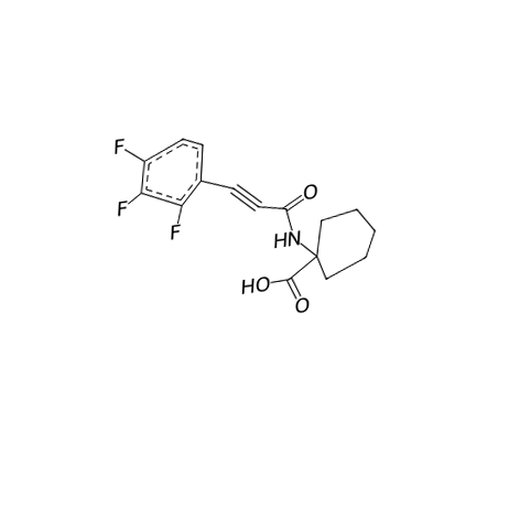 O=C(C#Cc1ccc(F)c(F)c1F)NC1(C(=O)O)CCCCC1